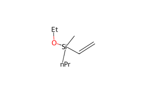 C=C[Si](C)(CCC)OCC